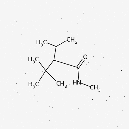 CNC(=O)C(C(C)C)C(C)(C)C